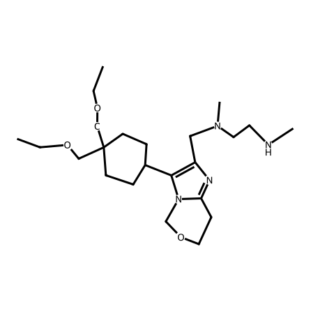 CCOCC1(COCC)CCC(c2c(CN(C)CCNC)nc3n2COCC3)CC1